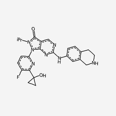 CC(C)n1c(=O)c2cnc(Nc3ccc4c(c3)CNCC4)nc2n1-c1ccc(F)c(C2(O)CC2)n1